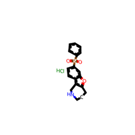 Cl.O=S(=O)(c1ccccc1)c1ccc2c3c(oc2c1)CCCNC3